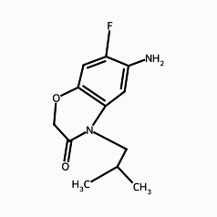 CC(C)CN1C(=O)COc2cc(F)c(N)cc21